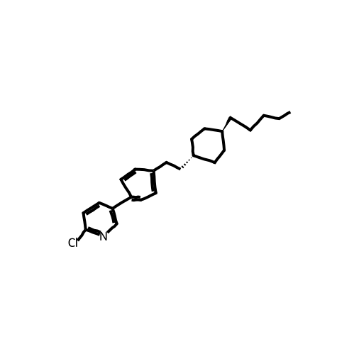 CCCCC[C@H]1CC[C@H](CCc2ccc(-c3ccc(Cl)nc3)cc2)CC1